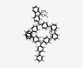 CC1(C)c2ccccc2-c2ccc(N(c3ccc(-c4ccccc4)cc3)c3ccc(-c4cccc5c4oc4c(-c6ccc(N(c7ccc(-c8ccccc8)cc7)c7ccc(-c8ccccc8)cc7)cc6)cccc45)cc3)cc21